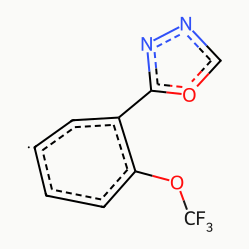 FC(F)(F)Oc1cc[c]cc1-c1nnco1